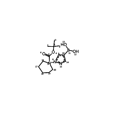 CC(C)(C)OC(=O)[N+]1(n2cc(B(O)O)cn2)CCCCC1